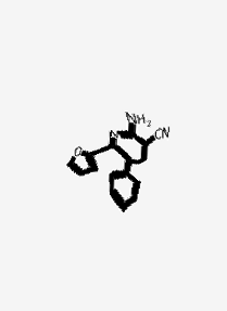 N#Cc1cc(-c2ccccc2)c(-c2ccco2)nc1N